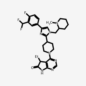 CCC1C(=O)Nc2ncnc(N3CCC(c4nc(-c5ccc(F)c(C(F)F)c5)cn4CC4CCCCN4C)CC3)c21